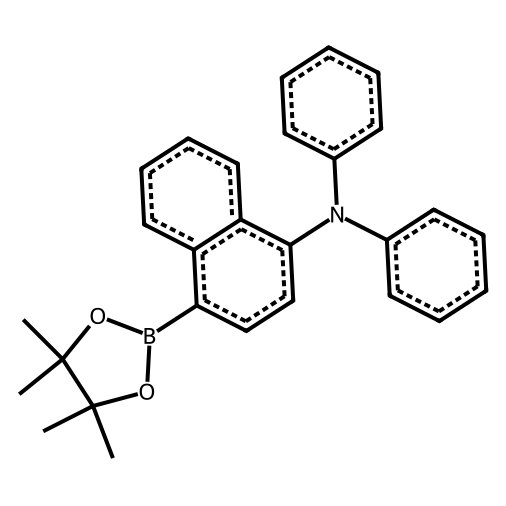 CC1(C)OB(c2ccc(N(c3ccccc3)c3ccccc3)c3ccccc23)OC1(C)C